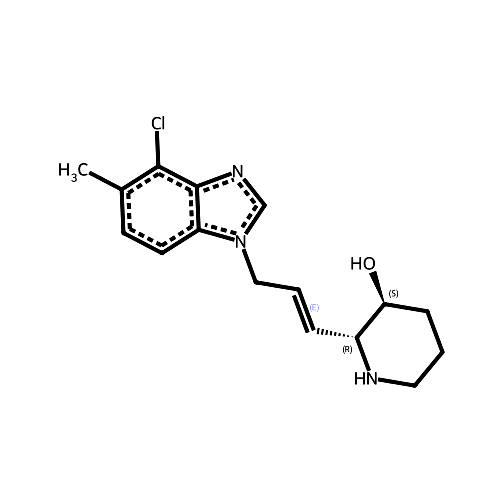 Cc1ccc2c(ncn2C/C=C/[C@H]2NCCC[C@@H]2O)c1Cl